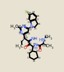 CC[C@H](C(=N)C(=O)[C@@H](NC(=O)[C@H](C)NC)C1CCCCC1)c1cc(N2CCc3ccc(F)cc32)nc(C)n1